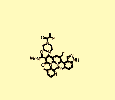 C=C(F)C(=O)N1CCN(c2c(C(=O)NC)c(=O)n(-c3c(C)ccnc3C(C)C)c3nc(-c4c(C)ccc5[nH]ncc45)c(F)cc23)CC1